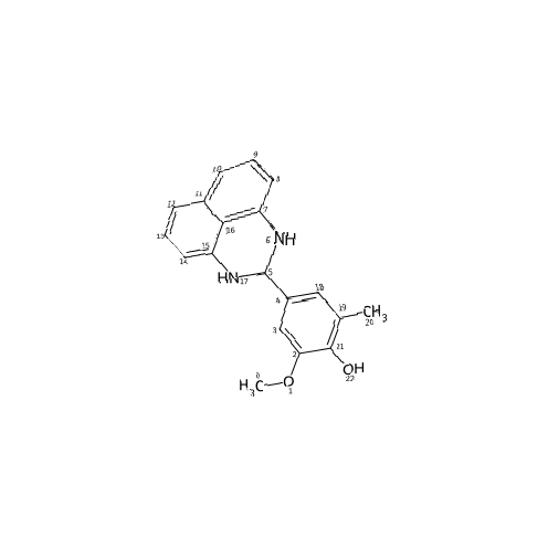 COc1cc(C2Nc3cccc4cccc(c34)N2)cc(C)c1O